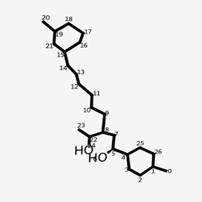 CC1CCC([C@@H](O)CC(CCCCCCC2CCCC(C)C2)C(C)O)CC1